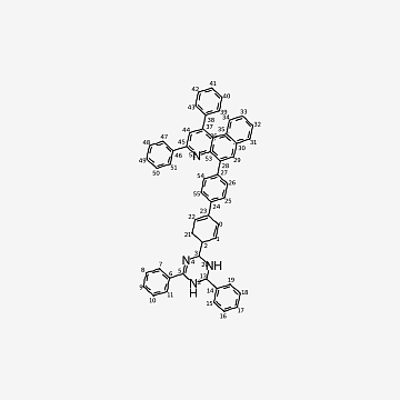 C1=CC(C2N=C(c3ccccc3)NC(c3ccccc3)N2)CC=C1c1ccc(-c2cc3ccccc3c3c(-c4ccccc4)cc(-c4ccccc4)nc23)cc1